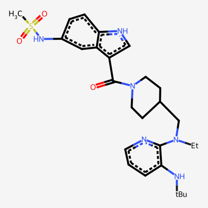 CCN(CC1CCN(C(=O)c2c[nH]c3ccc(NS(C)(=O)=O)cc23)CC1)c1ncccc1NC(C)(C)C